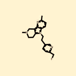 Cc1ccc2c(n1)c1c(n2CCc2ccc(CF)nc2)CCN(C)C1